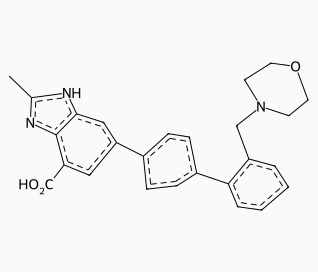 Cc1nc2c(C(=O)O)cc(-c3ccc(-c4ccccc4CN4CCOCC4)cc3)cc2[nH]1